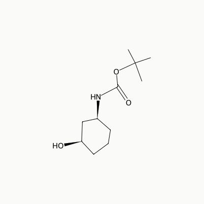 CC(C)(C)OC(=O)N[C@H]1CCC[C@@H](O)C1